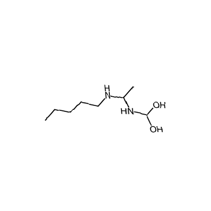 CCCCCNC(C)NC(O)O